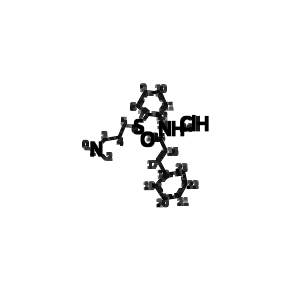 CN(C)CCCSc1ccccc1NC(=O)C=Cc1ccccc1.Cl